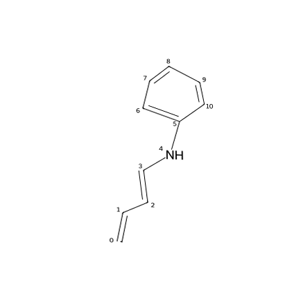 [CH]=C/C=C/Nc1ccccc1